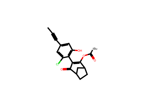 CC#Cc1cc(O)c(C2=C(OC(=O)C(C)(C)C)C3CCC(C3)C2=O)c(Cl)c1